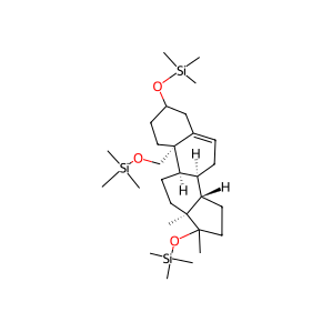 CC1(O[Si](C)(C)C)CC[C@H]2[C@@H]3CC=C4CC(O[Si](C)(C)C)CC[C@]4(CO[Si](C)(C)C)[C@@H]3CC[C@@]21C